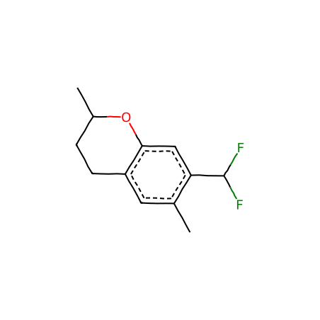 Cc1cc2c(cc1C(F)F)OC(C)CC2